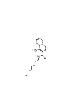 CCCCCCCCNC(=O)c1ccc2ccccc2c1O